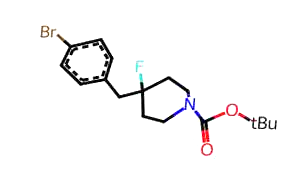 CC(C)(C)OC(=O)N1CCC(F)(Cc2ccc(Br)cc2)CC1